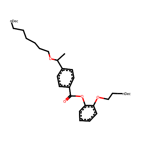 CCCCCCCCCCCCCCCCOC(C)c1ccc(C(=O)Oc2ccccc2OCCCCCCCCCCCC)cc1